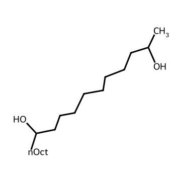 CCCCCCCCC(O)CCCCCCCCC(C)O